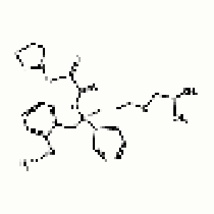 COc1ccccc1C[N+](CCCOCC(C)C)(OC(=O)C(=O)ON1CCCC1)c1ccccc1